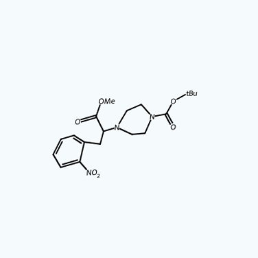 COC(=O)C(Cc1ccccc1[N+](=O)[O-])N1CCN(C(=O)OC(C)(C)C)CC1